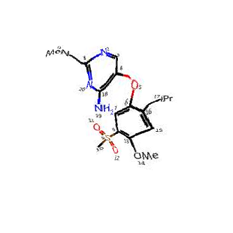 CNc1ncc(Oc2cc(S(C)(=O)=O)c(OC)cc2C(C)C)c(N)n1